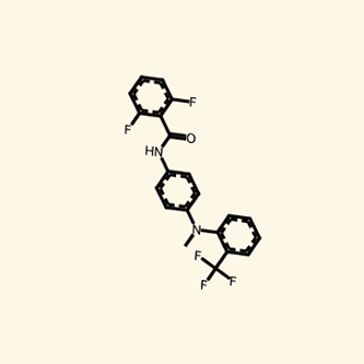 CN(c1ccc(NC(=O)c2c(F)cccc2F)cc1)c1ccccc1C(F)(F)F